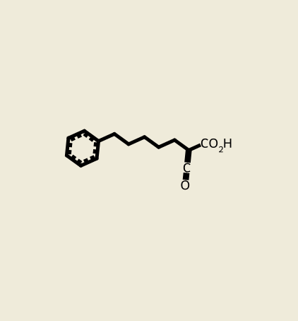 O=C=C(CCCCCc1ccccc1)C(=O)O